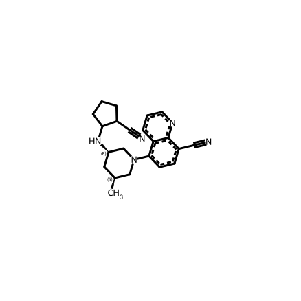 C[C@H]1C[C@@H](NC2CCCC2C#N)CN(c2ccc(C#N)c3ncccc23)C1